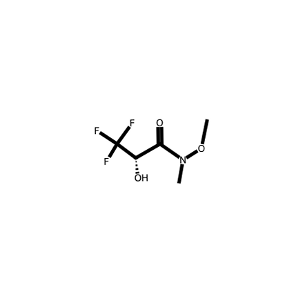 CON(C)C(=O)[C@H](O)C(F)(F)F